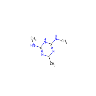 CNC1=NC(C)N=C(NC)N1